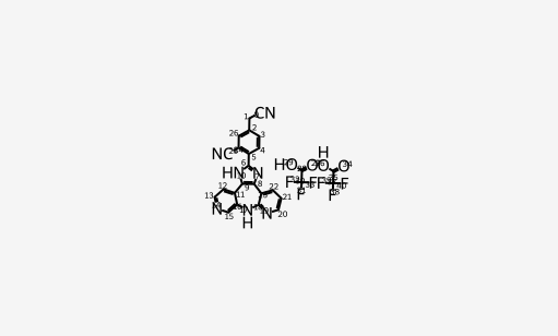 N#CCc1ccc(-c2nc3c([nH]2)-c2ccncc2Nc2ncccc2-3)c(C#N)c1.O=C(O)C(F)(F)F.O=C(O)C(F)(F)F